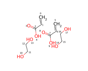 C=CC(=O)O.C=CC(=O)O.OCCO.OCCO